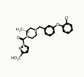 C[C@@H]1CN(Cc2cccc(Oc3ccccc3Cl)c2)CCN1C(=O)n1ccc(C(=O)O)n1